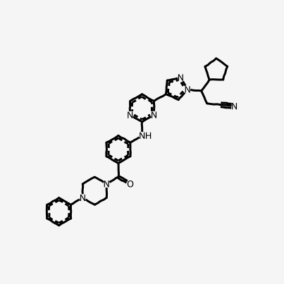 N#CCC(C1CCCC1)n1cc(-c2ccnc(Nc3cccc(C(=O)N4CCN(c5ccccc5)CC4)c3)n2)cn1